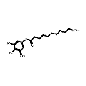 CCCCCCCCCCCCCCCCCCCC(=O)Oc1cc(O)c(O)c(O)c1